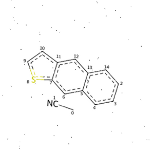 CC#N.c1ccc2cc3sccc3cc2c1